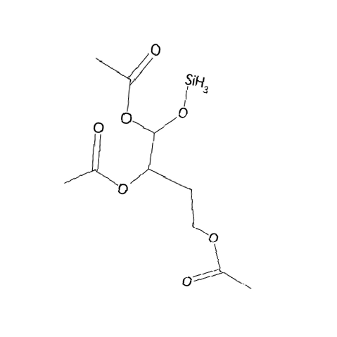 CC(=O)OCCC(OC(C)=O)C(O[SiH3])OC(C)=O